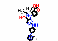 C=CCN1C(O)c2cnc(Nc3ccc(N4CC5CC(C4)N5C)cc3)nc2N1c1ccc2c(c1)C(C)(O)CO2